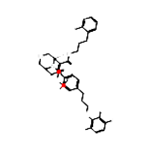 CC(C)(OC(=O)N1C2CNC[C@@H]1C(C(=O)NCCCc1ccccc1Cl)=C(c1ccc(CCCOc3c(F)ccc(F)c3F)cc1)C2)C(Cl)(Cl)Cl